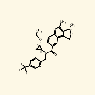 CCO[C@H]1C[C@@H]1N(Cc1ccc(C(F)(F)F)cn1)C(=O)c1ccc2nc(N)c3c(c2c1)CO[C@@H]3C